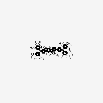 Cc1cc(N(c2ccc(-c3ccc4c(c3)C(C)(C)c3cc5c(cc3-4)C(C)(C)c3cc(N(c4cc(C)c(C)c(C)c4)c4cc(C)c(C)c(C)c4)ccc3-5)cc2)c2cc(C)c(C)c(C)c2)cc(C)c1C